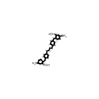 CCCCCCCCc1cc(N)ccc1Cc1ccc(CCCCc2ccc(Cc3ccc(N)cc3CCCCCCCC)cc2)cc1